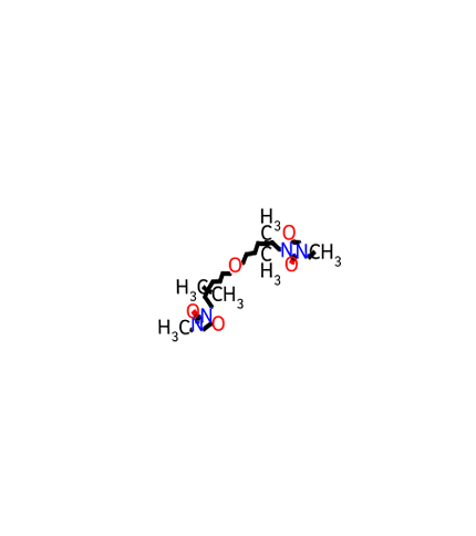 CCN1CC(=O)N(CCC(C)(C)CCCCOCCCCC(C)(C)CCN2C(=O)CN(CC)C2=O)C1=O